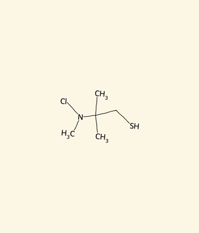 CN(Cl)C(C)(C)CS